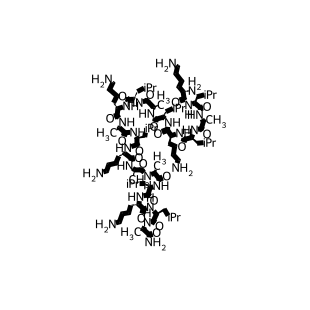 CC(C)C[C@H](NC(=O)[C@H](C)NC(=O)[C@H](CCCCN)NC(=O)[C@H](CC(C)C)NC(=O)[C@H](C)NC(=O)[C@H](CC(C)C)NC(=O)[C@H](CCCCN)NC(=O)[C@H](CC(C)C)NC(=O)[C@H](C)NC(=O)[C@H](CC(C)C)NC(=O)[C@@H](N)CCCCN)C(=O)N[C@@H](CCCCN)C(=O)N[C@@H](C)C(=O)N[C@@H](C)C(=O)N[C@@H](CC(C)C)C(=O)N[C@@H](CCCCN)C(=O)N[C@@H](CC(C)C)C(=O)N[C@@H](C)C(N)=O